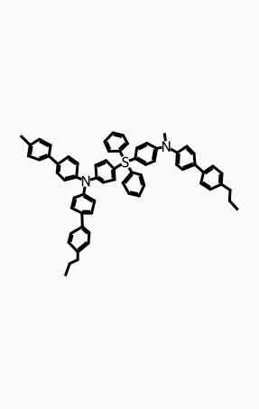 CCCc1ccc(-c2ccc(N(C)c3ccc(S(c4ccccc4)(c4ccccc4)c4ccc(N(c5ccc(-c6ccc(C)cc6)cc5)c5ccc(-c6ccc(CCC)cc6)cc5)cc4)cc3)cc2)cc1